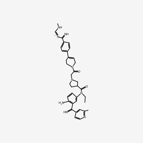 CCN(C(=O)C1CCN(CC(=O)N2CC=C(c3ccc(C(=N)/N=C\NC)cc3)CC2)C1)c1ccc(N)c(C(=N)c2ccnc(C)c2)c1